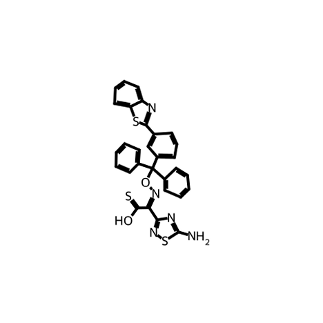 Nc1nc(/C(=N/OC(c2ccccc2)(c2ccccc2)c2cccc(-c3nc4ccccc4s3)c2)C(O)=S)ns1